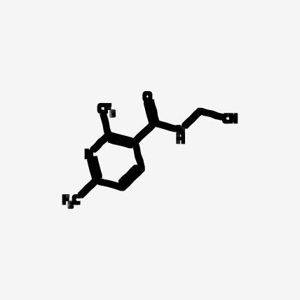 N#CCNC(=O)c1ccc(C(F)(F)F)nc1C(F)(F)F